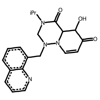 CC(C)N1CN(Cc2cccc3cccnc23)N2C=CC(=O)C(O)C2C1=O